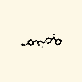 CC(C)(C)c1ccc(CC(N)CCN2CCC(C(=O)c3ccccc3)CC2)cc1